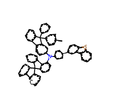 Cc1ccc(C2(c3ccccc3)c3ccccc3-c3ccc(N(c4ccc(-c5ccc6sc7ccccc7c6c5)cc4)c4cccc5c4-c4ccccc4C54c5ccccc5-c5ccccc54)cc32)cc1